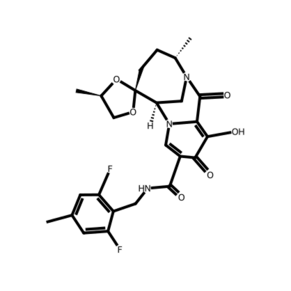 Cc1cc(F)c(CNC(=O)c2cn3c(c(O)c2=O)C(=O)N2C[C@@H]3[C@]3(CC[C@@H]2C)OC[C@@H](C)O3)c(F)c1